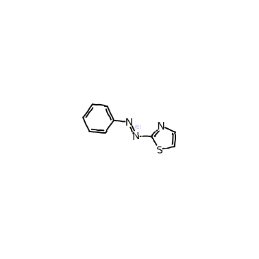 c1ccc(/N=N/c2nccs2)cc1